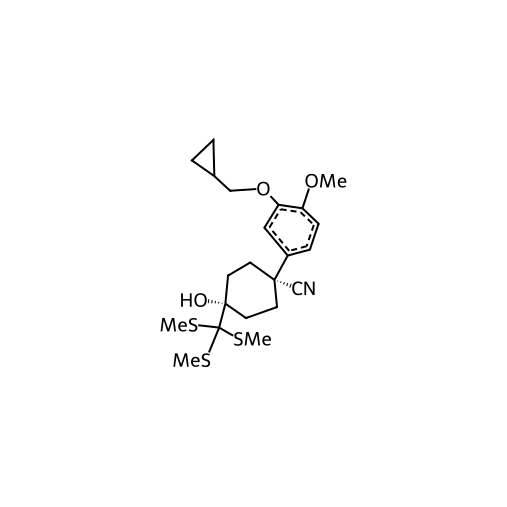 COc1ccc([C@]2(C#N)CC[C@](O)(C(SC)(SC)SC)CC2)cc1OCC1CC1